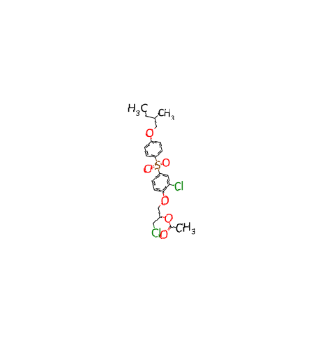 CCC(C)COc1ccc(S(=O)(=O)c2ccc(OCC(CCl)OC(C)=O)c(Cl)c2)cc1